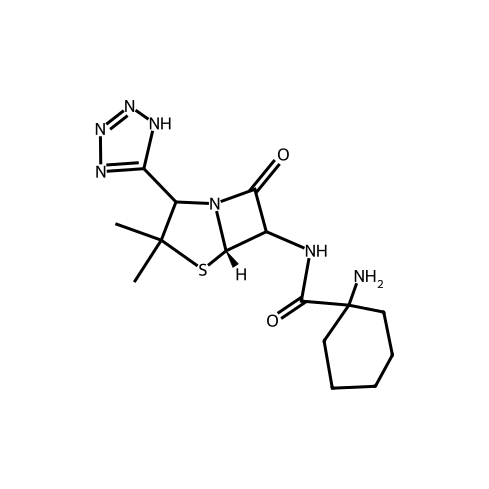 CC1(C)S[C@H]2C(NC(=O)C3(N)CCCCC3)C(=O)N2C1c1nnn[nH]1